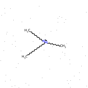 CCCCCCCCCCCCCCCC1N(CCCCCCCCCC)C=CN1CCCCCCCCCCCC